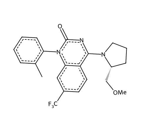 COC[C@H]1CCCN1c1nc(=O)n(-c2ccccc2C)c2cc(C(F)(F)F)ccc12